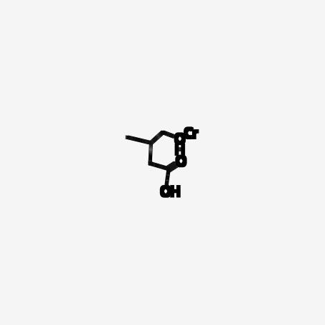 CC(CO)CC(=O)O.[Cr]